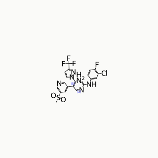 C=C(/N=C\C(=C(/N)n1ccc(C(F)(F)F)n1)c1cncc(S(C)(=O)=O)c1)Nc1ccc(F)c(Cl)c1